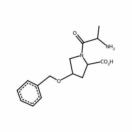 CC(N)C(=O)N1CC(OCc2ccccc2)CC1C(=O)O